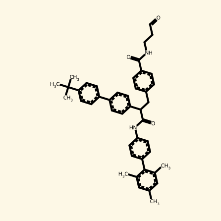 Cc1cc(C)c(-c2ccc(NC(=O)C(Cc3ccc(C(=O)NCCC=O)cc3)c3ccc(-c4ccc(C(C)(C)C)cc4)cc3)cc2)c(C)c1